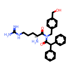 N=C(N)NCCC[C@@H](N)C(=O)N(Cc1ccc(CO)cc1)C(=O)C(c1ccccc1)c1ccccc1